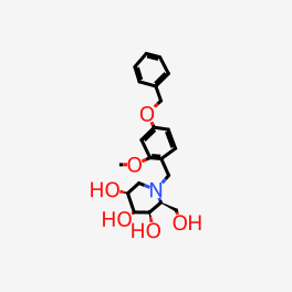 COc1cc(OCc2ccccc2)ccc1CN1C[C@H](O)[C@@H](O)[C@H](O)[C@@H]1CO